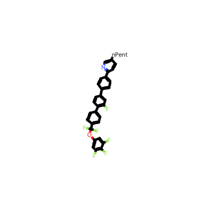 CCCCCc1ccc(-c2ccc(-c3ccc(-c4ccc(C(F)(F)Oc5cc(F)c(F)c(F)c5)cc4)c(F)c3)cc2)nc1